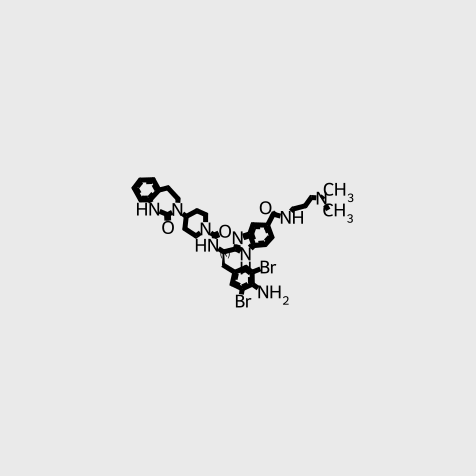 CN(C)CCCNC(=O)c1ccc2[nH]c([C@@H](Cc3cc(Br)c(N)c(Br)c3)NC(=O)N3CCC(N4CCc5ccccc5NC4=O)CC3)nc2c1